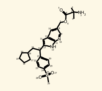 CC(C)(N)C(=O)OCc1cnc2[nH]c(C(CC3CCCC3)c3ccc(S(C)(=O)=O)cc3)cc2c1